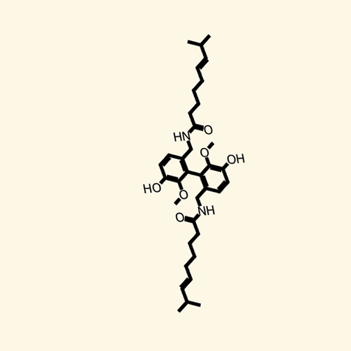 COc1c(O)ccc(CNC(=O)CCCC/C=C/C(C)C)c1-c1c(CNC(=O)CCCC/C=C/C(C)C)ccc(O)c1OC